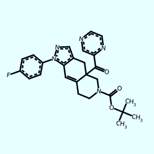 CC(C)(C)OC(=O)N1CCC2=Cc3c(cnn3-c3ccc(F)cc3)CC2(C(=O)c2cnccn2)C1